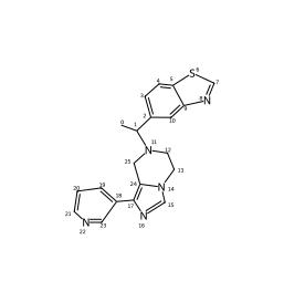 CC(c1ccc2scnc2c1)N1CCn2cnc(-c3cccnc3)c2C1